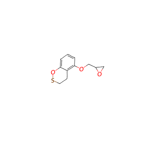 c1cc(OCC2CO2)c2c(c1)OSCC2